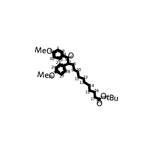 COc1ccc(C(=O)C(CCCCCCCCCCC(=O)OC(C)(C)C)c2ccc(OC)cc2)cc1